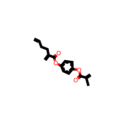 C=CCCC(=C)C(=O)Oc1ccc(OC(=O)C(=C)C)cc1